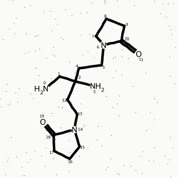 NCC(N)(CCN1CCCC1=O)CCN1CCCC1=O